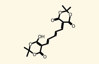 CC1(C)OC(=O)C(=CC=CC=CC2=C(O)OC(C)(C)OC2=O)C(=O)O1